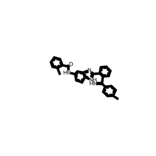 Cc1ccc(C(=N)c2ccccc2-c2nc3cc(NC(=O)c4ccccc4C)ccc3[nH]2)cc1